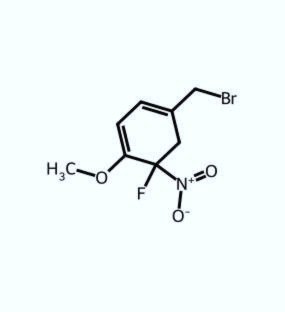 COC1=CC=C(CBr)CC1(F)[N+](=O)[O-]